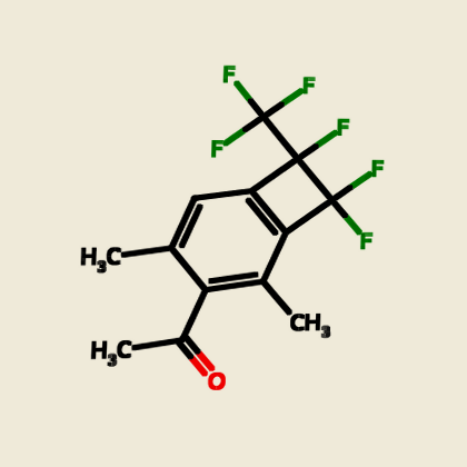 CC(=O)c1c(C)cc2c(c1C)C(F)(F)C2(F)C(F)(F)F